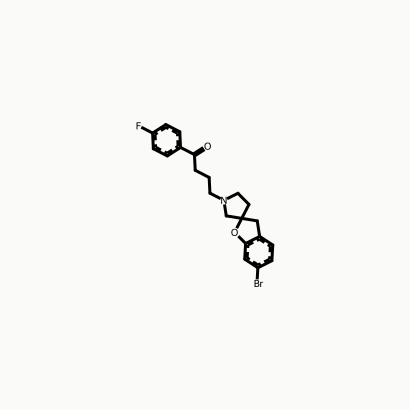 O=C(CCCN1CCC2(Cc3ccc(Br)cc3O2)C1)c1ccc(F)cc1